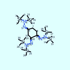 C[Si](C)(C)N(N=C1CCC(=NN([Si](C)(C)C)[Si](C)(C)C)C(=NN([Si](C)(C)C)[Si](C)(C)C)C1)[Si](C)(C)C